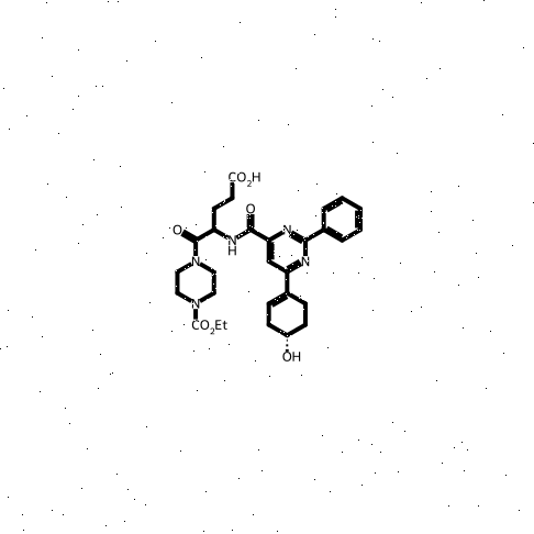 CCOC(=O)N1CCN(C(=O)C(CCC(=O)O)NC(=O)c2cc(C3=CC[C@@H](O)CC3)nc(-c3ccccc3)n2)CC1